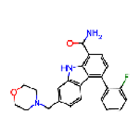 NC(=O)c1ccc(-c2ccccc2F)c2c1[nH]c1cc(CN3CCOCC3)ccc12